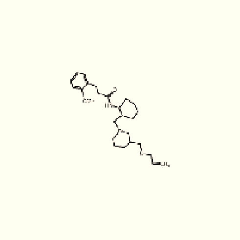 C=CCOCC1CCCN(CC2CCCCC2NC(=O)CCc2ccccc2OC)C1